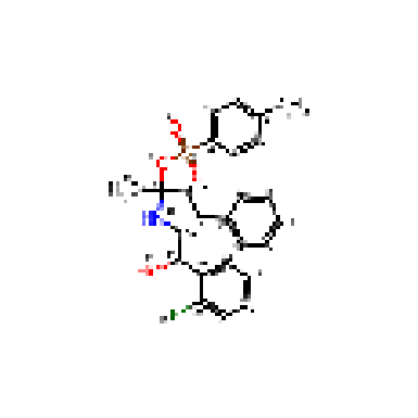 Cc1ccc(S(=O)(=O)O[C@](C)(CCc2ccccc2)NCC(O)c2ccccc2F)cc1